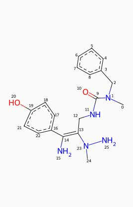 CN(Cc1ccccc1)C(=O)NC/C(=C(/N)c1ccc(O)cc1)N(C)N